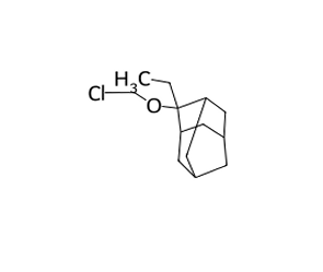 CCC1(OCCl)C2CC3CC(C2)CC1C3